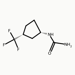 NC(=O)N[C@H]1CC[C@@H](C(F)(F)F)C1